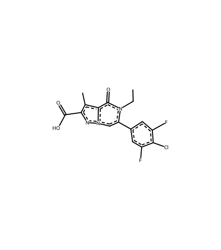 CCn1c(-c2cc(F)c(Cl)c(F)c2)cn2nc(C(=O)O)c(C)c2c1=O